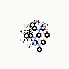 Cc1nc2c3c(n1)N(c1ccc4c(c1)C(C)(C)CCC4(C)C)c1cc4c(cc1B3c1ccccc1O2)B1c2ccccc2N(c2ccccc2)c2nc(C)nc(c21)N4c1ccc2c(c1)C(C)(C)CCC2(C)C